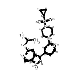 CC(C)Oc1cc2c(-c3ccnc(N4CCN(S(=O)(=O)C5CC5)CC4)c3)n[nH]c2cn1